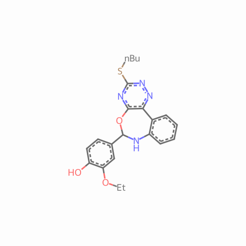 CCCCSc1nnc2c(n1)OC(c1ccc(O)c(OCC)c1)Nc1ccccc1-2